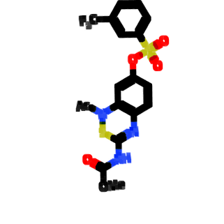 COC(=O)NC1=Nc2ccc(OS(=O)(=O)c3cccc(C(F)(F)F)c3)cc2N(C(C)=O)S1